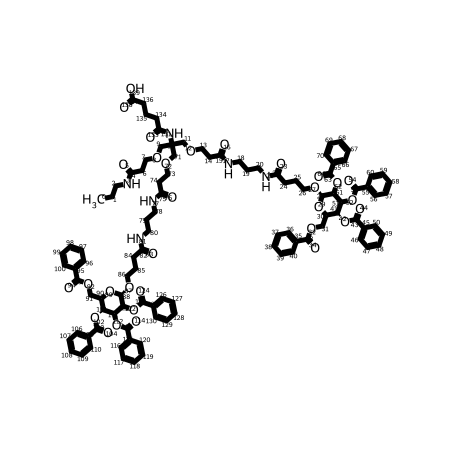 CCCNC(=O)CCOCC(COCCC(=O)NCCCNC(=O)CCCO[C@@H]1OC(COC(=O)c2ccccc2)[C@@H](OC(=O)c2ccccc2)C(OC(=O)c2ccccc2)C1OC(=O)c1ccccc1)(COCCC(=O)NCCCNC(=O)CCCO[C@@H]1OC(COC(=O)c2ccccc2)[C@@H](OC(=O)c2ccccc2)C(OC(=O)c2ccccc2)C1OC(=O)c1ccccc1)NC(=O)CCCC(=O)O